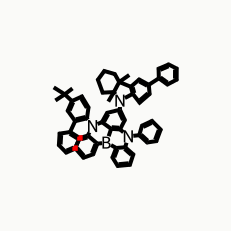 CC(C)(C)c1ccc(N2c3ccccc3B3c4ccccc4N(c4ccccc4)c4cc(N5c6ccc(-c7ccccc7)cc6C6(C)CCCCC56C)cc2c43)c(-c2ccccc2)c1